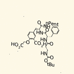 CCCCCNC(=O)[C@H](Cc1ccc(OCC(=O)O)c(C(=O)O)c1)NC(=O)[C@H](Cc1ccccc1)NC(=O)CCNC(=O)OC(C)(C)C